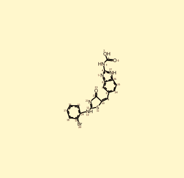 O=C(O)Nc1nc2cc(C=C3SC(Nc4ccccc4Br)=NC3=O)ccc2[nH]1